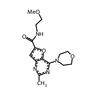 COCCNC(=O)c1cc2nc(C)nc(N3CCOCC3)c2o1